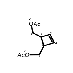 CC(=O)OCC1C=CC1COC(C)=O